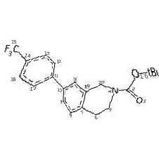 CC(C)(C)OC(=O)N1CCc2ccc(-c3ccc(C(F)(F)F)cc3)cc2C1